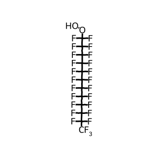 OOC(F)(F)C(F)(F)C(F)(F)C(F)(F)C(F)(F)C(F)(F)C(F)(F)C(F)(F)C(F)(F)C(F)(F)C(F)(F)C(F)(F)F